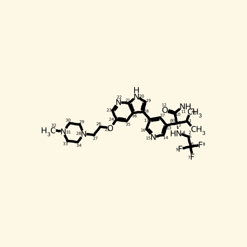 CC(C)[C@](NCC(F)(F)F)(C(N)=O)c1cncc(-c2c[nH]c3ncc(OCCN4CCN(C)CC4)cc23)c1